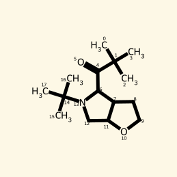 CC(C)(C)C(=O)C1C2CCOC2CN1C(C)(C)C